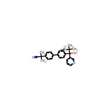 CC(C)(C#N)c1ccc(-c2ccc(C(O)(c3cccnc3)C(C)(C)C)c(Cl)c2)cc1